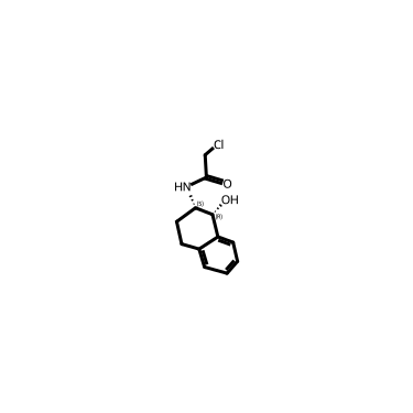 O=C(CCl)N[C@H]1CCc2ccccc2[C@H]1O